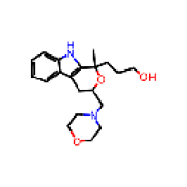 CC1(CCCO)OC(CN2CCOCC2)Cc2c1[nH]c1ccccc21